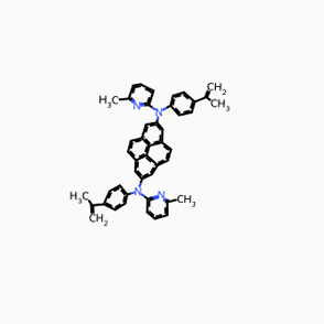 C=C(C)c1ccc(N(c2cc3ccc4cc(N(c5ccc(C(=C)C)cc5)c5cccc(C)n5)cc5ccc(c2)c3c45)c2cccc(C)n2)cc1